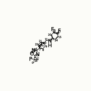 CC(F)(F)c1nc(C23CCC(CNc4ccc(F)c(F)c4)(CC2)CC3)no1